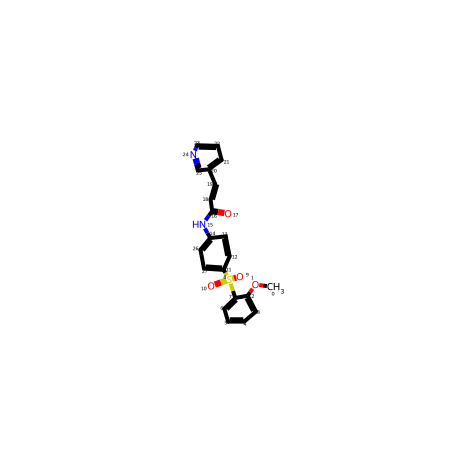 COc1ccccc1S(=O)(=O)c1ccc(NC(=O)/C=C/c2cccnc2)cc1